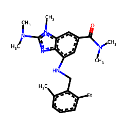 CCc1cccc(C)c1CNc1cc(C(=O)N(C)C)cc2c1nc(N(C)C)n2C